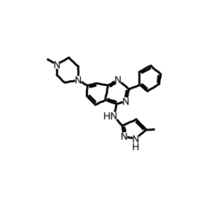 Cc1cc(Nc2nc(-c3ccccc3)nc3cc(N4CCN(C)CC4)ccc23)n[nH]1